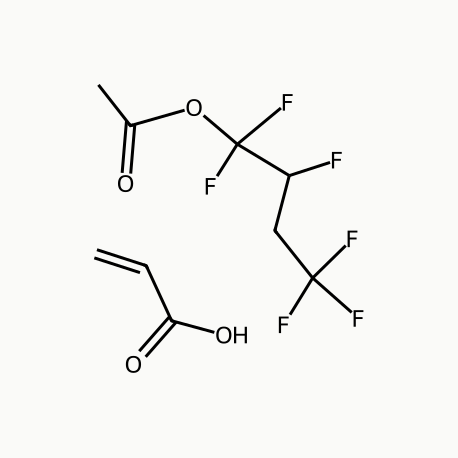 C=CC(=O)O.CC(=O)OC(F)(F)C(F)CC(F)(F)F